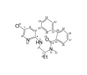 CCC(CNc1ccc(Cl)cn1)N(C)C(=O)c1ccccc1-c1ccccc1